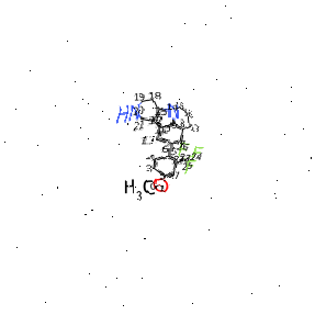 COc1ccc(-c2cc3c4c(c2)c2c(n4CCC3)CCNC2)c(C(F)(F)F)c1